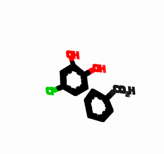 O=C(O)c1ccccc1.Oc1ccc(Cl)cc1O